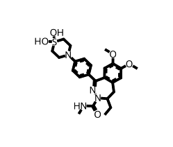 CCC1Cc2cc(OC)c(OC)cc2C(c2ccc(N3CCS(O)(O)CC3)cc2)=NN1C(=O)NC